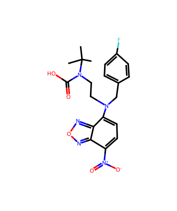 CC(C)(C)N(CCN(Cc1ccc(F)cc1)c1ccc([N+](=O)[O-])c2nonc12)C(=O)O